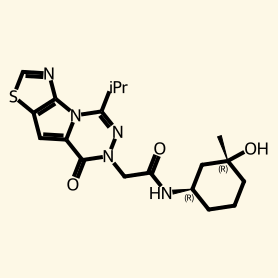 CC(C)c1nn(CC(=O)N[C@@H]2CCC[C@@](C)(O)C2)c(=O)c2cc3scnc3n12